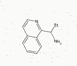 CCC(N)c1nccc2ccccc12